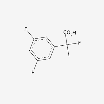 CC(F)(C(=O)O)c1cc(F)cc(F)c1